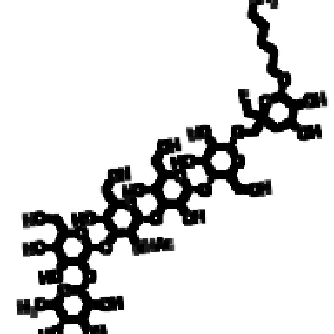 CC(=O)NC1C(O[C@@H]2OC(CO)[C@H](O)C(O)C2O[C@@H]2OC(C)[C@@H](O)C(O)C2O)[C@@H](O)C(CO)O[C@H]1OC1C(O)[C@@H](O[C@H]2C(CO)O[C@@H](OCC3(CF)CC(O)C(O)[C@H](OCCCCCN)O3)C(O)C2O)OC(CO)[C@@H]1O